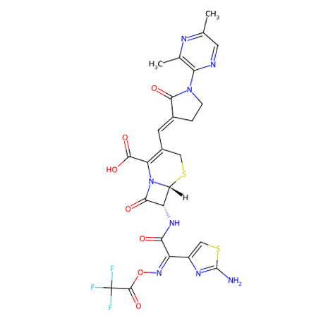 Cc1cnc(N2CC/C(=C\C3=C(C(=O)O)N4C(=O)[C@@H](NC(=O)/C(=N\OC(=O)C(F)(F)F)c5csc(N)n5)[C@H]4SC3)C2=O)c(C)n1